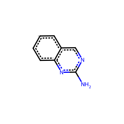 Nc1ncc2c[c]ccc2n1